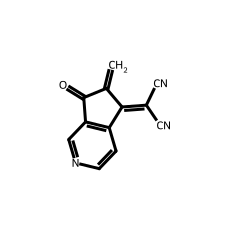 C=C1C(=O)c2cnccc2C1=C(C#N)C#N